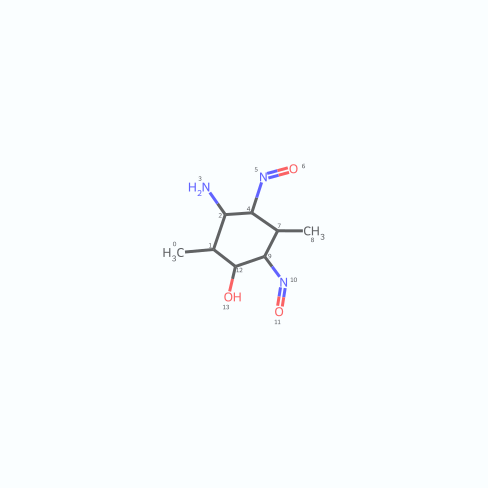 CC1C(N)C(N=O)C(C)C(N=O)C1O